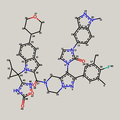 Cc1cc(-c2nn3c(c2-n2ccn(-c4ccc5c(cnn5C)c4)c2=O)CN(C(=O)c2cc4cc(C5CCOCC5)ccc4n2C2(c4noc(=O)[nH]4)CC2C)CC3)cc(C)c1F